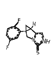 Fc1ccc(F)c([C@@]23C[C@@H]2c2c[nH]c(=S)n2C3)c1